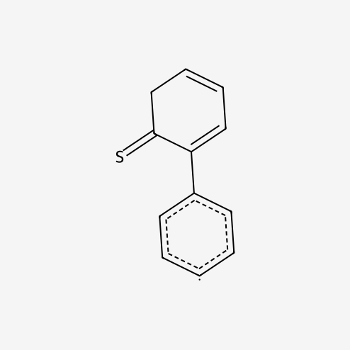 S=C1CC=CC=C1c1cc[c]cc1